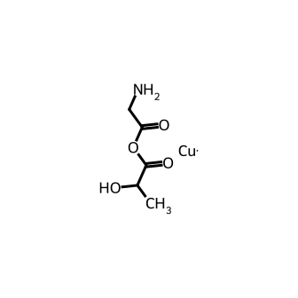 CC(O)C(=O)OC(=O)CN.[Cu]